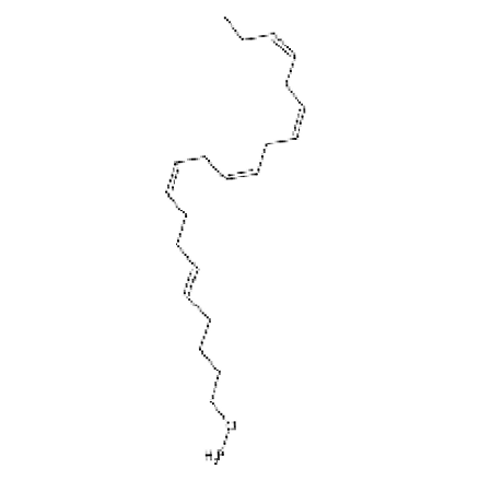 CC/C=C\C/C=C\C/C=C\C/C=C\CC/C=C/CCCCOP